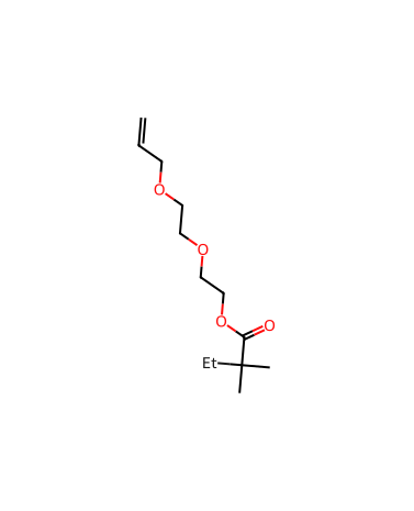 C=CCOCCOCCOC(=O)C(C)(C)CC